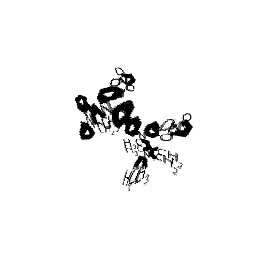 C=Cc1c(/C=C(\C)N(c2ccc(ON3C(=O)CCC3=O)cc2)c2ccc(-c3ccc(N(C(=C)/C=c4\c(=C)n(-c5ccccc5)c5ccccc45)c4ccc(ON5C(=O)CCC5=O)cc4)cc3)cc2)c(C)n(C(/C=C\C)=C/C)c1C=C